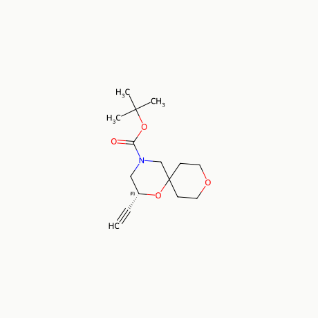 C#C[C@@H]1CN(C(=O)OC(C)(C)C)CC2(CCOCC2)O1